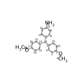 COc1ccc([C](c2ccc(N)cc2)c2ccc(OC)cc2)cc1